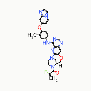 C=C(F)C(=O)N1CCN2C[C@H]1COc1cc3ncnc(Nc4ccc(Oc5ccn6ccnc6c5)c(C)c4)c3nc12